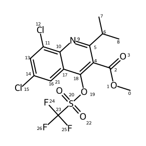 COC(=O)c1c(C(C)C)nc2c(Cl)cc(Cl)cc2c1OS(=O)(=O)C(F)(F)F